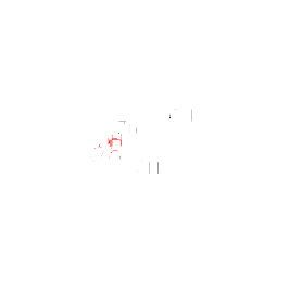 CCCCCCCCCCC(CCC)OC(=O)c1ccccc1O.[Zn]